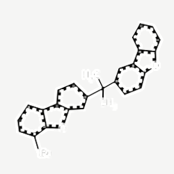 CC(C)(C)c1cccc2c1oc1cc(C(C)(C)c3ccc4oc5ccccc5c4c3)ccc12